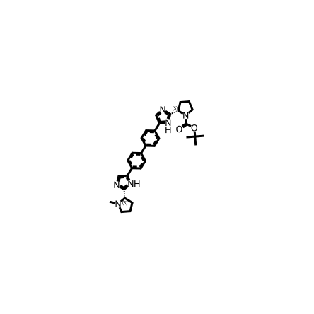 CN1CCC[C@H]1c1ncc(-c2ccc(-c3ccc(-c4cnc([C@@H]5CCCN5C(=O)OC(C)(C)C)[nH]4)cc3)cc2)[nH]1